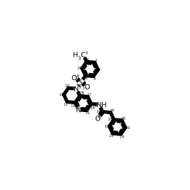 Cc1cccc(S(=O)(=O)N2CCCc3ncc(NC(=O)Cc4ccccc4)cc32)c1